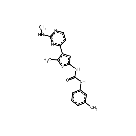 CNc1nccc(-c2sc(NC(=O)Nc3cccc(C)c3)nc2C)n1